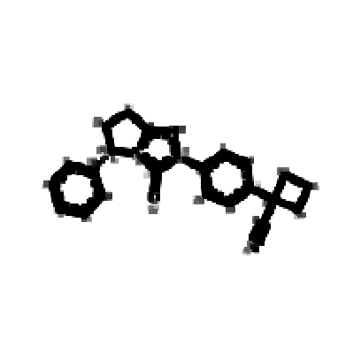 N#CC1(c2ccc(-n3nc4n(c3=O)[C@H](c3ccccc3)CC4)cc2)CCC1